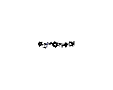 C\C=N/C(COC1CCCC1)=N\C=C\c1ccc2nc(NC(=O)C3CC(N4CCC(F)(F)CC4)C3)sc2c1